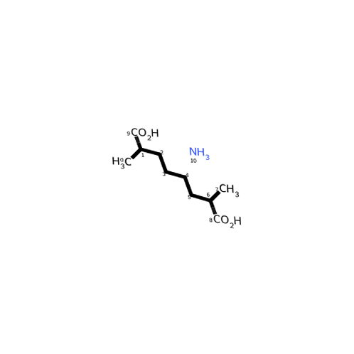 CC(CCCCC(C)C(=O)O)C(=O)O.N